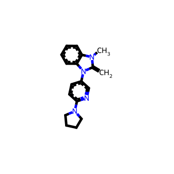 C=C1N(C)c2ccccc2N1c1ccc(N2CCCC2)nc1